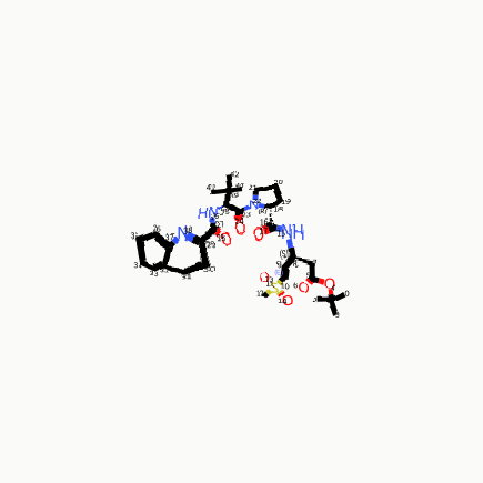 CC(C)(C)OC(=O)C[C@@H](/C=C/S(C)(=O)=O)NC(=O)[C@H]1CCCN1C(=O)[C@@H](NC(=O)c1ccc2ccccc2n1)C(C)(C)C